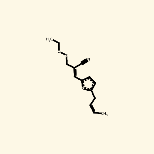 C/C=C\Cc1ccc(/C=C(\C#N)CSOCC)s1